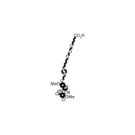 COc1cc(Nc2c(C#N)cnc3cc(OCCCN4CCN(CCCCCCOCCOCCOCCCCCC(=O)O)CC4)c(OC)cc23)c(Cl)cc1Cl